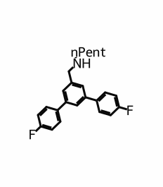 [CH2]CC[CH]CNCc1cc(-c2ccc(F)cc2)cc(-c2ccc(F)cc2)c1